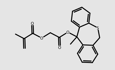 C=C(C)C(=O)OCC(=O)OC1(C)c2ccccc2CSc2ccccc21